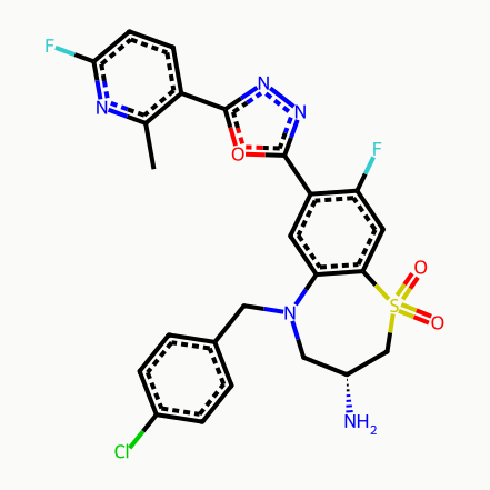 Cc1nc(F)ccc1-c1nnc(-c2cc3c(cc2F)S(=O)(=O)C[C@H](N)CN3Cc2ccc(Cl)cc2)o1